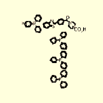 O=C(O)N1CCN(C(=O)c2ccc(-c3nc4ccccc4s3)cc2)CC1.[Pd].c1ccc(P(c2ccccc2)c2ccccc2)cc1.c1ccc(P(c2ccccc2)c2ccccc2)cc1.c1ccc(P(c2ccccc2)c2ccccc2)cc1.c1ccc(P(c2ccccc2)c2ccccc2)cc1